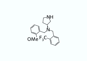 COc1ccccc1CN(Cc1ccccc1C(F)(F)F)[C@H]1CCNC1